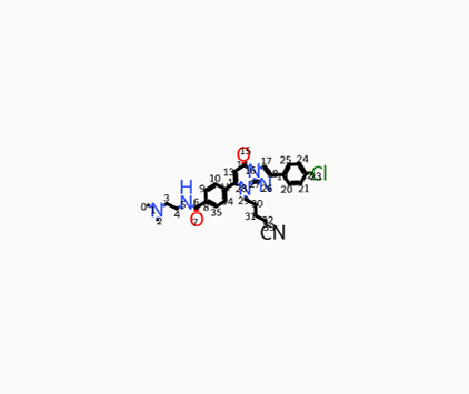 CN(C)CCNC(=O)c1ccc(-c2cc(=O)n3cc(-c4ccc(Cl)cc4)nc3n2CCCCC#N)cc1